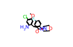 COc1cc(/C=C/C(=O)N2CC3COCC(C2)N3Cc2ccc(F)cc2)c(N)cc1Cl